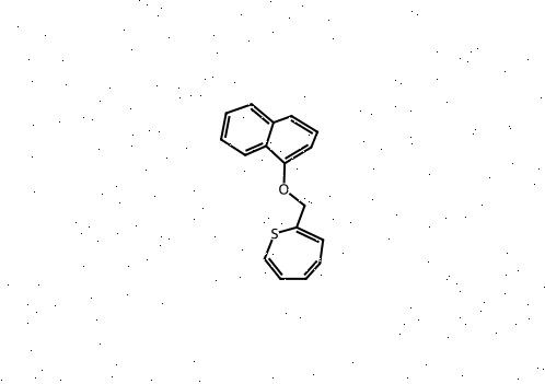 C1=CC=C(COc2cccc3ccccc23)SC=C1